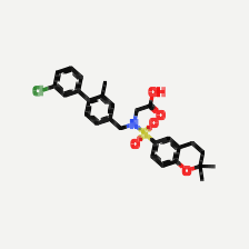 Cc1cc(CN(CC(=O)O)S(=O)(=O)c2ccc3c(c2)CCC(C)(C)O3)ccc1-c1cccc(Cl)c1